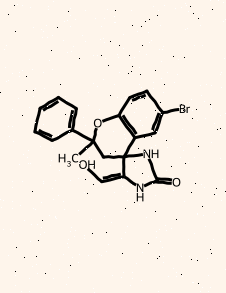 CC1(c2ccccc2)CC2(NC(=O)N/C2=C/O)c2cc(Br)ccc2O1